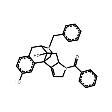 O=C(c1ccccc1)N1CC=C2C1CC1(O)C3Cc4ccc(O)cc4C21CCN3Cc1ccccc1